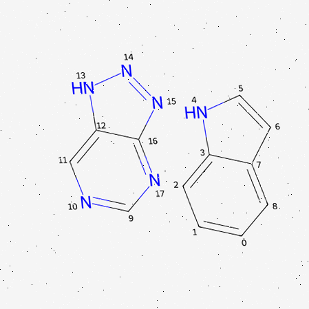 c1ccc2[nH]ccc2c1.c1ncc2[nH]nnc2n1